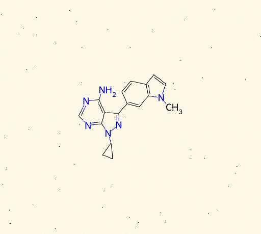 Cn1ccc2ccc(-c3nn(C4CC4)c4ncnc(N)c34)cc21